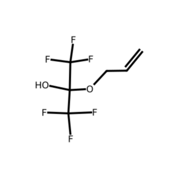 C=CCOC(O)(C(F)(F)F)C(F)(F)F